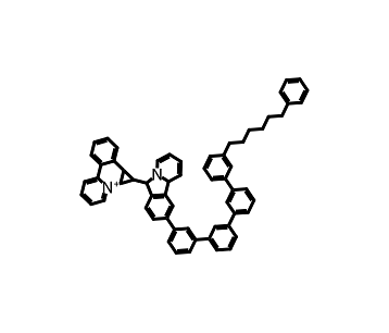 C1=CC2c3cc(-c4cccc(-c5cccc(-c6cccc(-c7cccc(CCCCCCc8ccccc8)c7)c6)c5)c4)ccc3C(C3C4c5ccccc5-c5cccc[n+]5C43)N2C=C1